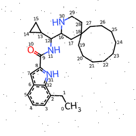 CCc1cccc2cc(C(=O)NC(C3CC3)C3CC4(CCCCCCCCC4)CCN3)[nH]c12